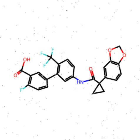 O=C(O)c1cc(-c2cc(NC(=O)C3(c4ccc5c(c4)OCO5)CC3)ccc2C(F)(F)F)ccc1F